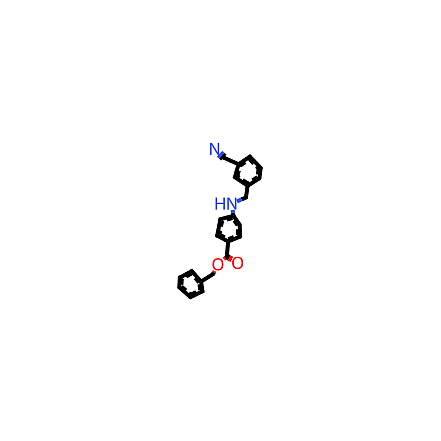 N#Cc1cccc(CNc2ccc(C(=O)OCc3ccccc3)cc2)c1